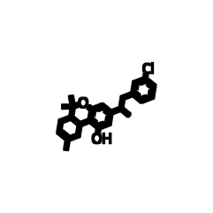 CC1=CCC2C(C1)c1c(O)cc(C(C)Cc3cccc(Cl)c3)cc1OC2(C)C